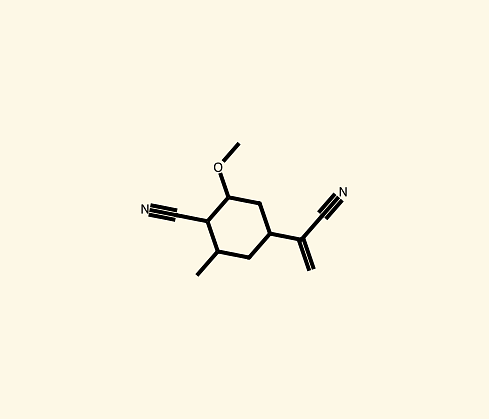 C=C(C#N)C1CC(C)C(C#N)C(OC)C1